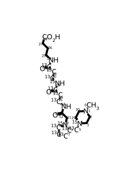 CN1CC[15N]([13CH2][13CH]2[13CH2][13CH2][13CH2][15N]2CC(=O)N[13CH2][13CH2][13C](=O)[15NH][13CH2][13CH2][13C](=O)NCCCC(=O)O)CC1